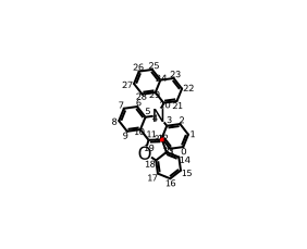 c1ccc(N(c2ccccc2-c2cc3ccccc3o2)c2cccc3ccccc23)cc1